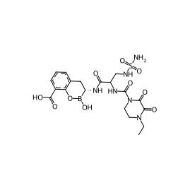 CCN1CCN(C(=O)NC(CNS(N)(=O)=O)C(=O)N[C@H]2Cc3cccc(C(=O)O)c3OB2O)C(=O)C1=O